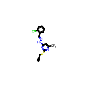 C#CCSc1nc(NN=Cc2ccccc2Cl)cc(C(F)(F)F)n1